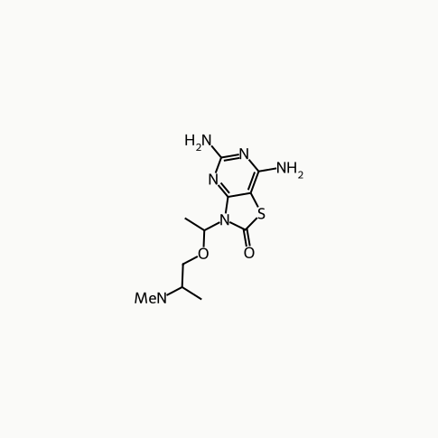 CNC(C)COC(C)n1c(=O)sc2c(N)nc(N)nc21